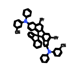 CC(C)c1cc2c(c3ccc(N(c4ccccc4)c4cccc(C#N)c4)cc13)C1(c3ccccc3-c3ccccc31)c1c-2cc(C(C)C)c2cc(N(c3ccccc3)c3cccc(C#N)c3)ccc12